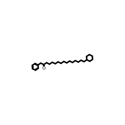 O=C(CCCCCCCCCCCCCCC1CCCCC1)Cc1ccccc1